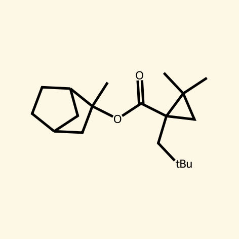 CC(C)(C)CC1(C(=O)OC2(C)CC3CCC2C3)CC1(C)C